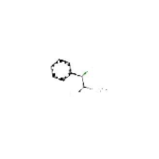 COC(C)C(Cl)c1ccccc1